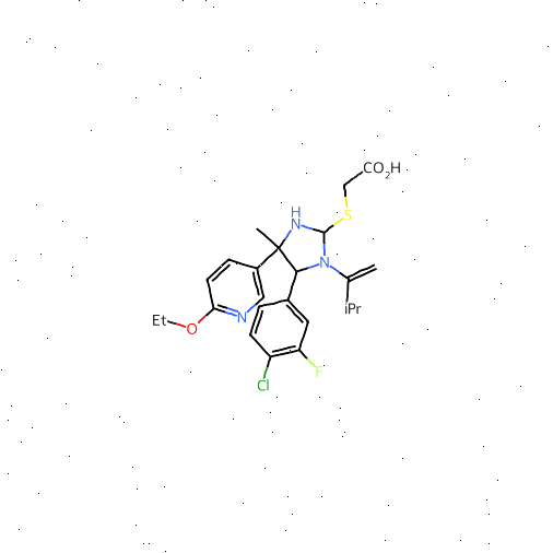 C=C(C(C)C)N1C(SCC(=O)O)NC(C)(c2ccc(OCC)nc2)C1c1ccc(Cl)c(F)c1